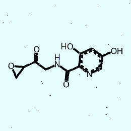 O=C(NCC(=O)C1CO1)c1ncc(O)cc1O